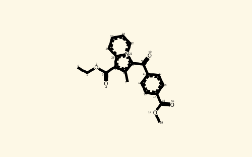 CCOC(=O)c1c(C)c(C(=O)c2ccc(C(=O)OC)cc2)n2ccccc12